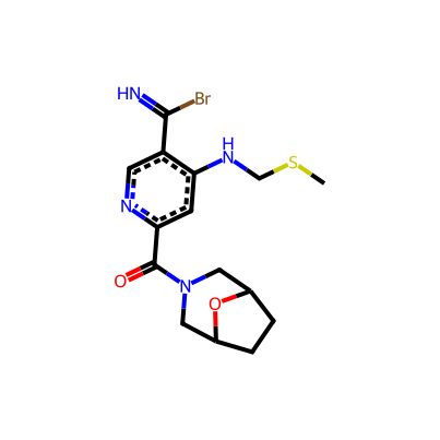 CSCNc1cc(C(=O)N2CC3CCC(C2)O3)ncc1C(=N)Br